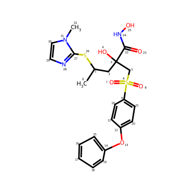 CC(CC(O)(CS(=O)(=O)c1ccc(Oc2ccccc2)cc1)C(=O)NO)Sc1nccn1C